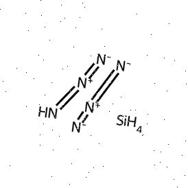 [N-]=[N+]=N.[N-]=[N+]=[N-].[SiH4]